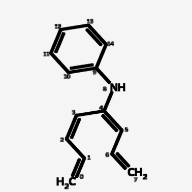 C=C/C=C\C(=C/C=C)Nc1ccccc1